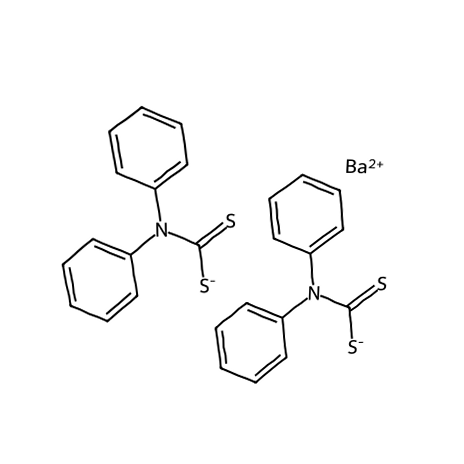 S=C([S-])N(c1ccccc1)c1ccccc1.S=C([S-])N(c1ccccc1)c1ccccc1.[Ba+2]